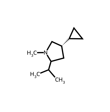 CC(C)C1C[C@@H](C2CC2)CN1C